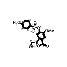 COc1cc2c(cc1OS(=O)(=O)c1ccc(C)cc1)[C@H](CO)OC2=O